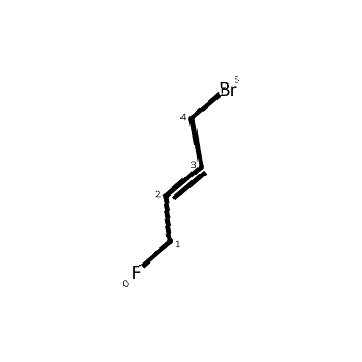 FCC=CCBr